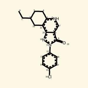 CCC1CCc2[nH]cc3c(=O)n(-c4ccc(Cl)cc4)nc-3c2C1